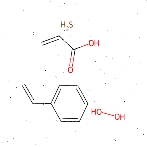 C=CC(=O)O.C=Cc1ccccc1.OO.S